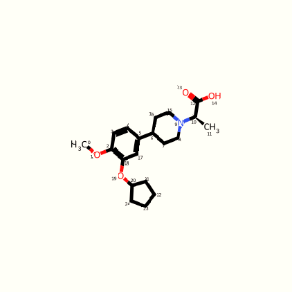 COc1ccc(C2CCN([C@H](C)C(=O)O)CC2)cc1OC1CCCC1